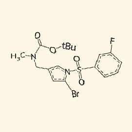 CN(Cc1cc(Br)n(S(=O)(=O)c2cccc(F)c2)c1)C(=O)OC(C)(C)C